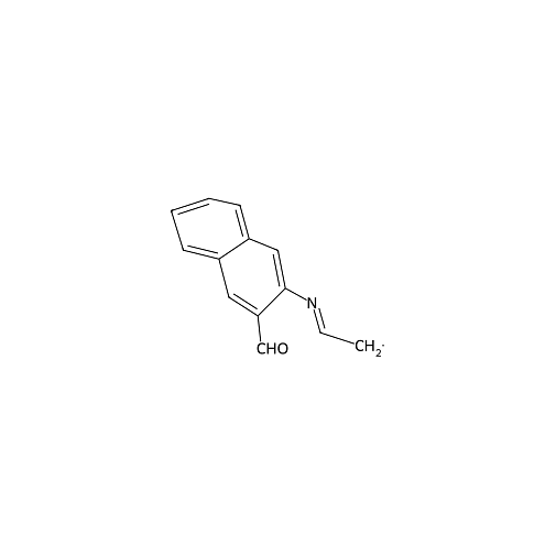 [CH2]C=Nc1cc2ccccc2cc1C=O